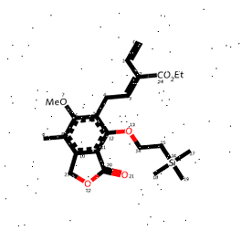 C=C/C(=C\Cc1c(OC)c(C)c2c(c1OCC[Si](C)(C)C)C(=O)OC2)C(=O)OCC